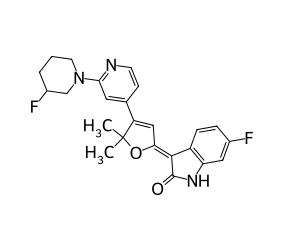 CC1(C)OC(=C2C(=O)Nc3cc(F)ccc32)C=C1c1ccnc(N2CCCC(F)C2)c1